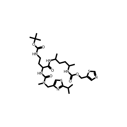 CC(CCC(C)NC(=O)C(CCNC(=O)OC(C)(C)C)NC(=O)N(C)Cc1csc(C(C)C)n1)NC(=O)OCc1cncs1